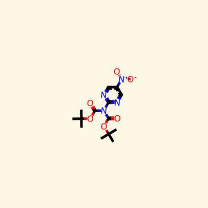 CC(C)(C)OC(=O)N(C(=O)OC(C)(C)C)c1ncc([N+](=O)[O-])cn1